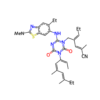 C\C=C(/C=C(C)\C=C(/C)CC)n1c(=O)nc(Nc2cc3sc(NC)nc3cc2CC)n(CC(=C\CC)/C=C(\C)C#N)c1=O